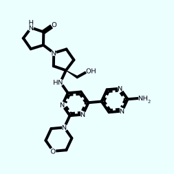 Nc1ncc(-c2cc(N[C@@]3(CO)CCN(C4CCNC4=O)C3)nc(N3CCOCC3)n2)cn1